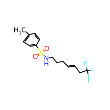 Cc1ccc(S(=O)(=O)NCCCC=CCC(F)(F)F)cc1